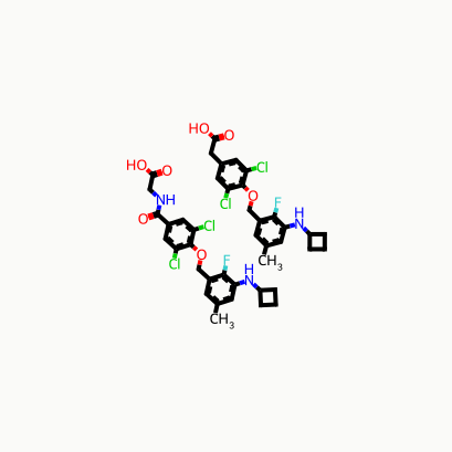 Cc1cc(COc2c(Cl)cc(C(=O)NCC(=O)O)cc2Cl)c(F)c(NC2CCC2)c1.Cc1cc(COc2c(Cl)cc(CC(=O)O)cc2Cl)c(F)c(NC2CCC2)c1